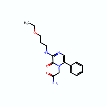 CCOCCCNc1ncc(-c2ccccc2)n(CC(N)=O)c1=O